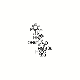 CC(C)(C)NC(=O)N[C@H](C(=O)N1C[C@H](NC(=O)N2Cc3cccc(F)c3C2)[C@@H](C=O)C1)C(C)(C)C